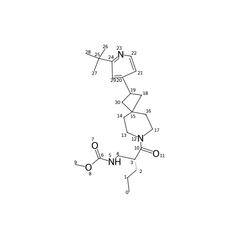 CCC[C@H](CNC(=O)OC)C(=O)N1CCC2(CC1)CC(c1ccnc(C(C)(C)C)c1)C2